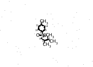 CC(C)=C(C)CS(=O)(=O)c1ccc(C)cc1